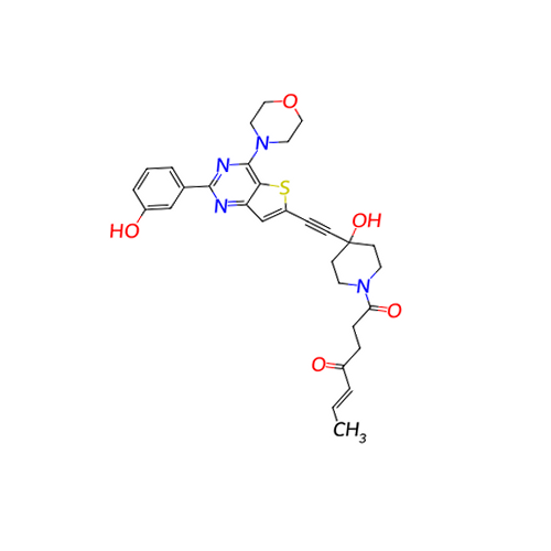 CC=CC(=O)CCC(=O)N1CCC(O)(C#Cc2cc3nc(-c4cccc(O)c4)nc(N4CCOCC4)c3s2)CC1